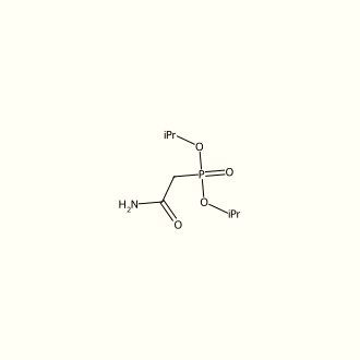 CC(C)OP(=O)(CC(N)=O)OC(C)C